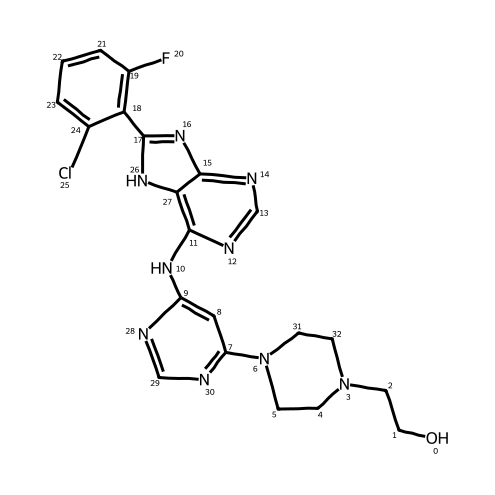 OCCN1CCN(c2cc(Nc3ncnc4nc(-c5c(F)cccc5Cl)[nH]c34)ncn2)CC1